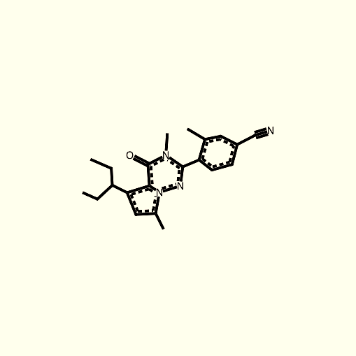 CCC(CC)c1cc(C)n2nc(-c3ccc(C#N)cc3C)n(C)c(=O)c12